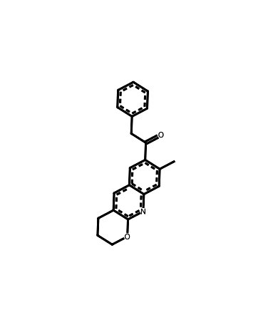 Cc1cc2nc3c(cc2cc1C(=O)Cc1ccccc1)CCCO3